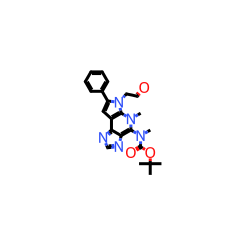 CN(C(=O)OC(C)(C)C)c1c2ncnc-2c2cc(-c3ccccc3)n(CC=O)c2n1C